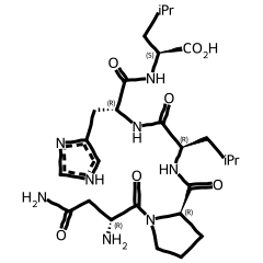 CC(C)C[C@H](NC(=O)[C@@H](Cc1c[nH]cn1)NC(=O)[C@@H](CC(C)C)NC(=O)[C@H]1CCCN1C(=O)[C@H](N)CC(N)=O)C(=O)O